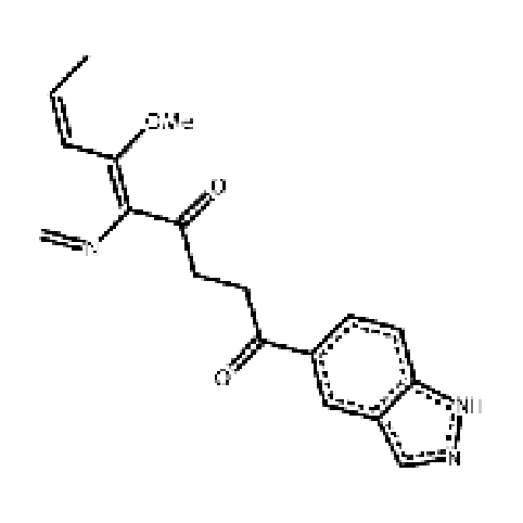 C=N/C(C(=O)CCC(=O)c1ccc2[nH]ncc2c1)=C(\C=C/C)OC